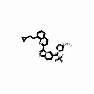 N[C@H]1CCN([C@@H](c2ccc3nnc(-c4ccc5cccc(CCC6CC6)c5n4)n3c2)C(F)(F)F)C1